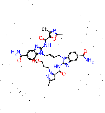 CCc1nc(C)oc1C(=O)Nc1nc2cc(C(N)=O)cc(C)c2n1CC=CCn1c(NC(=O)c2cc(C)nn2CCCO)nc2cc(C(N)=O)ccc21